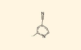 [CH2]c1cc(C#N)ccn1